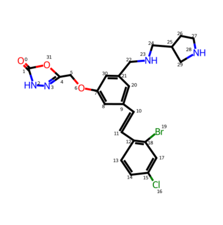 O=c1[nH]nc(COc2cc(/C=C/c3ccc(Cl)cc3Br)cc(CNCC3CCNC3)c2)o1